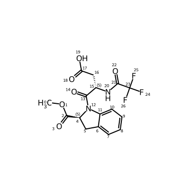 COC(=O)[C@@H]1Cc2ccccc2N1C(=O)[C@H](CC(=O)O)NC(=O)C(F)(F)F